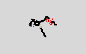 CCCCCCSc1cc2c(cc1C#Cc1ccc(OC(=O)CCC)o1)C(C)(C)CC(C)(C)O2